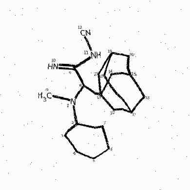 CN(C1CCCCC1)C(C(=N)NC#N)C12CC3CC(CC(C3)C1)C2